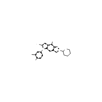 Cc1cc(-n2c(C(C)C)cc3c(F)c4nn(C5CCCCO5)cc4cc32)ccc1F